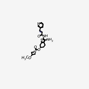 COC1CN(C(=O)OC2CCc3c(sc(NC(=O)/C=C/c4cccnc4)c3N)C2)C1